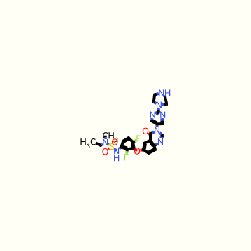 CCN(C)S(=O)(=O)Nc1ccc(F)c(Oc2ccc3ncn(-c4cnc(N5CCNCC5)nc4)c(=O)c3c2)c1F